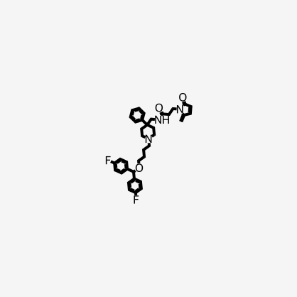 C=C1C=CC(=O)N1CCC(=O)NCC1(c2ccccc2)CCN(CCCCOC(c2ccc(F)cc2)c2ccc(F)cc2)CC1